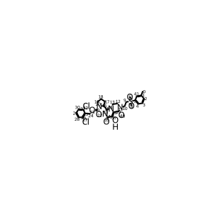 Cc1cccc(S(=O)(=O)CCN2CCn3c(C4CCCN4C(=O)OCc4c(Cl)cccc4Cl)nc(=O)c(O)c3C2=O)c1